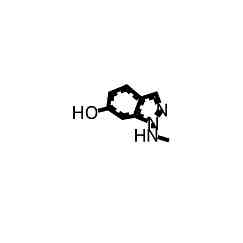 CNn1ncc2ccc(O)cc21